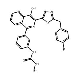 CC(C)NC(=O)Nc1cccc(-c2nc(-c3nnc(Cc4ccc(F)cc4)o3)c(O)c3ncccc23)c1